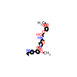 CCOc1ccc(-c2ccc(C3(N)CC3)cc2)cc1S(=O)(=O)N1CCC2(CC1)C[C@@H](NCC(O)COc1cccc(S(=O)(=O)CC)c1)CO2